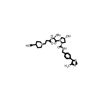 C#CC1CCN(CCC(=O)N[C@H](C(=O)N2C[C@H](O)C[C@H]2C(=O)NCc2ccc(-c3scnc3C)cc2)C(C)(C)C)CC1